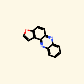 c1ccc2nc3c(ccc4occc43)nc2c1